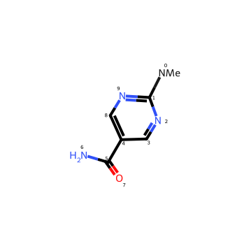 CNc1ncc(C(N)=O)cn1